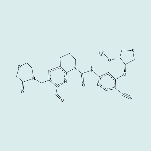 CO[C@@H]1CSC[C@H]1Oc1cc(NC(=O)N2CCCc3cc(CN4CCOCC4=O)c(C=O)nc32)ncc1C#N